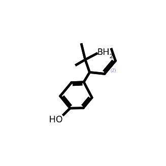 BC(C)(C)C(/C=C\C)c1ccc(O)cc1